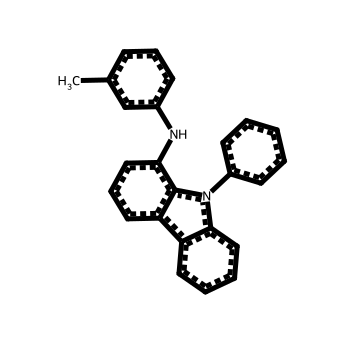 Cc1cccc(Nc2cccc3c4ccccc4n(-c4ccccc4)c23)c1